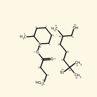 CC1CCCCN1OC(=O)CCC(=O)O.CCC(C)(C)CCCC(C)CO